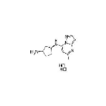 Cc1cc(N[C@H]2CC[C@@H](N)C2)n2nccc2n1.Cl.Cl